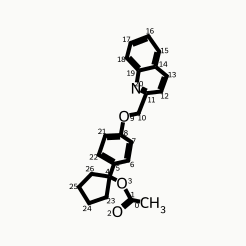 CC(=O)OC1(c2ccc(OCc3ccc4ccccc4n3)cc2)CCCC1